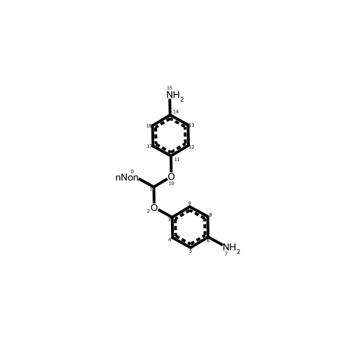 CCCCCCCCCC(Oc1ccc(N)cc1)Oc1ccc(N)cc1